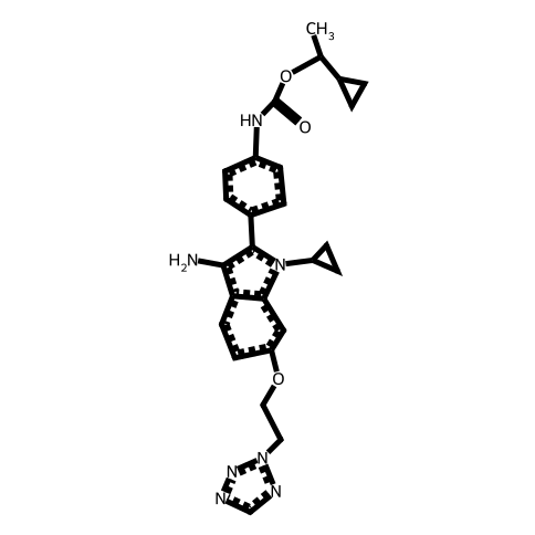 CC(OC(=O)Nc1ccc(-c2c(N)c3ccc(OCCn4ncnn4)cc3n2C2CC2)cc1)C1CC1